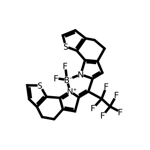 F[B-]1(F)n2c(cc3c2-c2sccc2CC3)C(C(F)(F)C(F)(F)F)=C2C=C3CCc4ccsc4C3=[N+]21